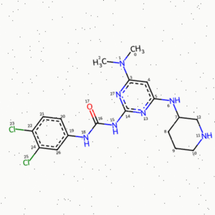 CN(C)c1cc(NC2CCCNC2)nc(NC(=O)Nc2ccc(Cl)c(Cl)c2)n1